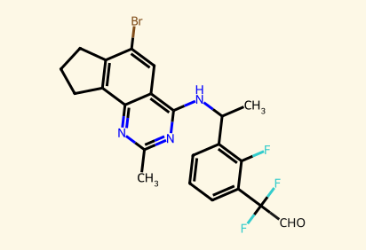 Cc1nc(NC(C)c2cccc(C(F)(F)C=O)c2F)c2cc(Br)c3c(c2n1)CCC3